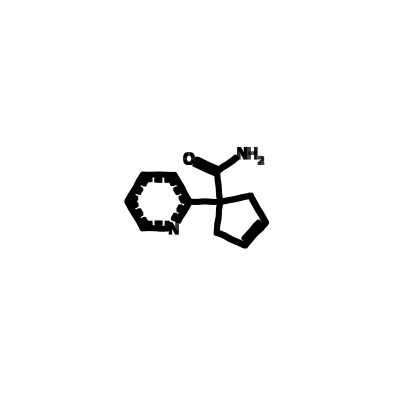 NC(=O)C1(c2ccccn2)CC=CC1